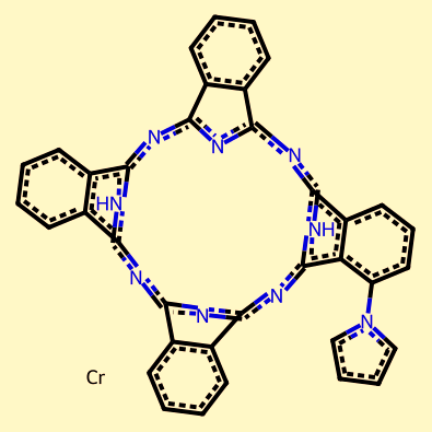 [Cr].c1ccc2c(c1)-c1nc-2nc2[nH]c(nc3nc(nc4[nH]c(n1)c1ccccc41)-c1ccccc1-3)c1c(-n3cccc3)cccc21